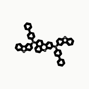 c1ccc(-c2ccc(N(c3ccc4c(c3)Oc3cccc5c(N(c6ccc(-c7ccccc7)cc6)c6ccc7oc8ccccc8c7c6)ccc-4c35)c3ccc4oc5ccccc5c4c3)cc2)cc1